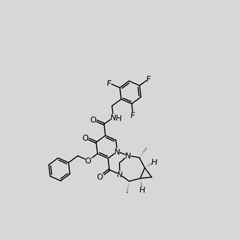 C[C@@H]1[C@H]2C[C@H]2[C@H](C)N2CN1n1cc(C(=O)NCc3c(F)cc(F)cc3F)c(=O)c(OCc3ccccc3)c1C2=O